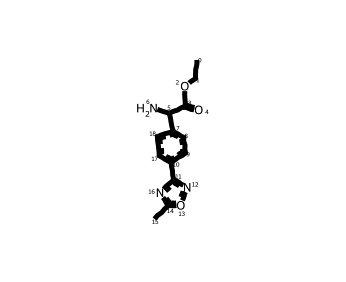 CCOC(=O)C(N)c1ccc(-c2noc(C)n2)cc1